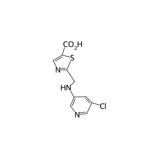 O=C(O)c1cnc(CNc2cncc(Cl)c2)s1